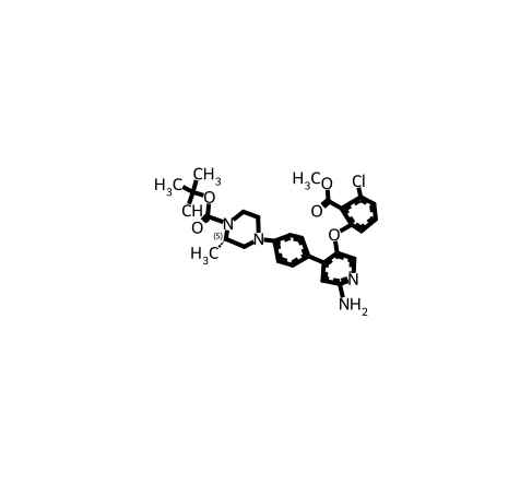 COC(=O)c1c(Cl)cccc1Oc1cnc(N)cc1-c1ccc(N2CCN(C(=O)OC(C)(C)C)[C@@H](C)C2)cc1